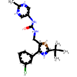 Cc1ncc(NC(=O)NCc2sc(C(C)(C)C)nc2-c2cccc(Cl)c2)cn1